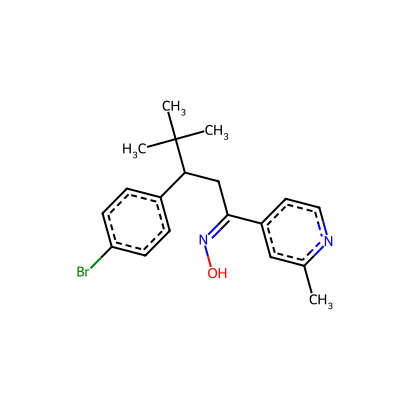 Cc1cc(C(CC(c2ccc(Br)cc2)C(C)(C)C)=NO)ccn1